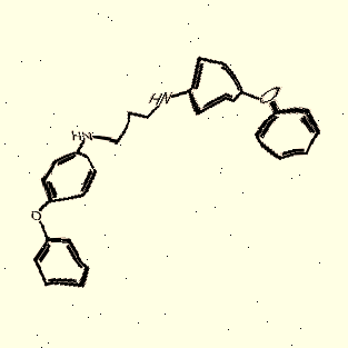 c1ccc(Oc2ccc(NCCCNc3ccc(Oc4ccccc4)cc3)cc2)cc1